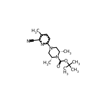 Cc1ccc(N2C[C@@H](C)N(C(=O)OC(C)(C)C)[C@@H](C)C2)nc1C#N